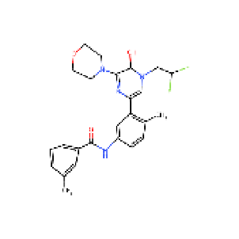 Cc1ccc(NC(=O)c2cccc(C(F)(F)F)c2)cc1C1=CN(CC(F)F)C(O)C(N2CCOCC2)=N1